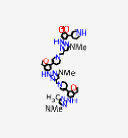 CNc1cc(C)nc(Nc2cc3c(c(C4=CCN(Cc5cc(NC)nc(Nc6cc7c(c(C8=CCN(CCc9cc(NC)nc(Nc%10cc%11c(c(C%12=CCNCCC%12)c%10)OCO%11)n9)CCC8)c6)OCC7)n5)CCC4)c2)OCC3)n1